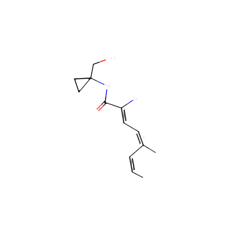 C\C=C/C(=C\C=C(/N)C(=O)NC1(CO)CC1)C(C)(C)C